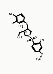 N#Cc1ccc(OC2CN(S(=O)(=O)c3ccc(OC(F)(F)F)cc3C#N)C[C@@]2(O)CO)cc1F